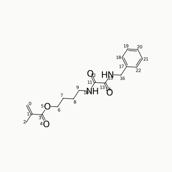 C=C(C)C(=O)OCCCCNC(=O)C(=O)NCc1ccccc1